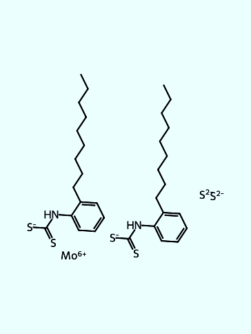 CCCCCCCCCc1ccccc1NC(=S)[S-].CCCCCCCCCc1ccccc1NC(=S)[S-].[Mo+6].[S-2].[S-2]